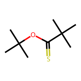 CC(C)(C)OC(=S)C(C)(C)C